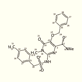 CNC(=O)c1nc(NS(=O)(=O)Cc2ccc(C)cc2)n(C)c(=O)c1OCc1ccccc1